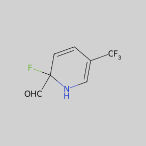 O=CC1(F)C=CC(C(F)(F)F)=CN1